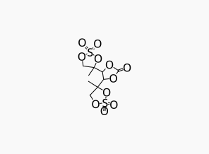 CC1(C2OC(=O)OC2C2(C)COS(=O)(=O)O2)COS(=O)(=O)O1